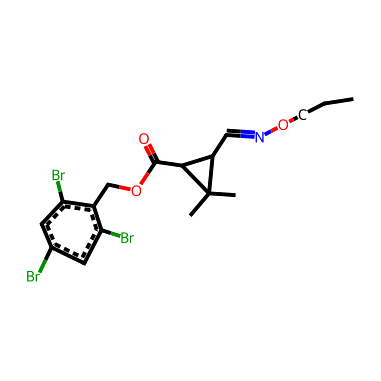 CCCON=CC1C(C(=O)OCc2c(Br)cc(Br)cc2Br)C1(C)C